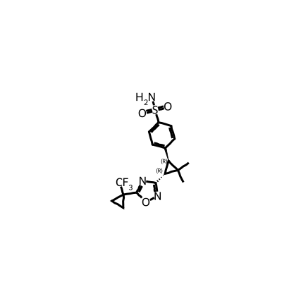 CC1(C)[C@H](c2ccc(S(N)(=O)=O)cc2)[C@H]1c1noc(C2(C(F)(F)F)CC2)n1